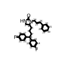 O=C1NCC(CCCC(c2ccc(F)cc2)c2ccc(F)cc2)N1CC=Cc1ccccc1